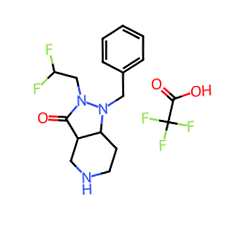 O=C(O)C(F)(F)F.O=C1C2CNCCC2N(Cc2ccccc2)N1CC(F)F